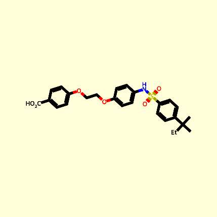 CCC(C)(C)c1ccc(S(=O)(=O)Nc2ccc(OCCOc3ccc(C(=O)O)cc3)cc2)cc1